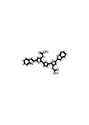 O=C(O)Cc1cc(-c2cc3ccccc3s2)sc1-c1ccc(-c2sc(-c3cc4ccccc4s3)cc2CC(=O)O)s1